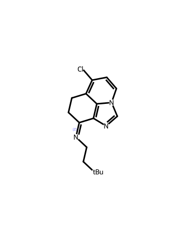 CC(C)(C)CC/N=C1/CCc2c(Cl)ccn3cnc1c23